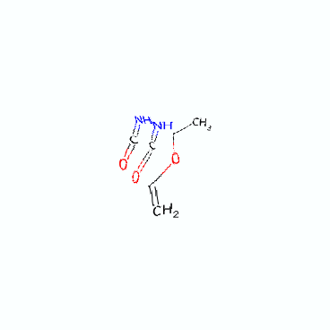 C=COCC.N=C=O.N=C=O